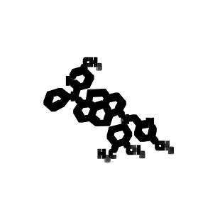 Cc1ccc(CN(c2ccc3ccc4c(N(c5ccccc5)c5ccc(C)cn5)ccc5ccc2c3c54)[C@@H]2CCC(C)C(C)C2)nc1